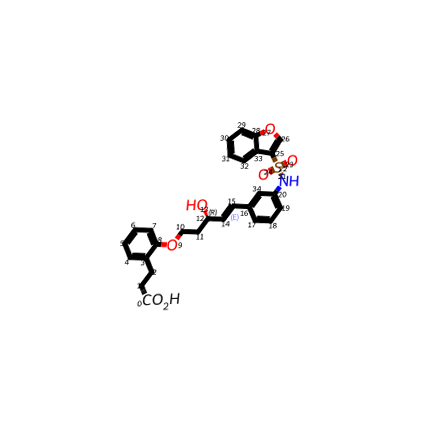 O=C(O)CCc1ccccc1OCC[C@@H](O)/C=C/c1cccc(NS(=O)(=O)c2coc3ccccc23)c1